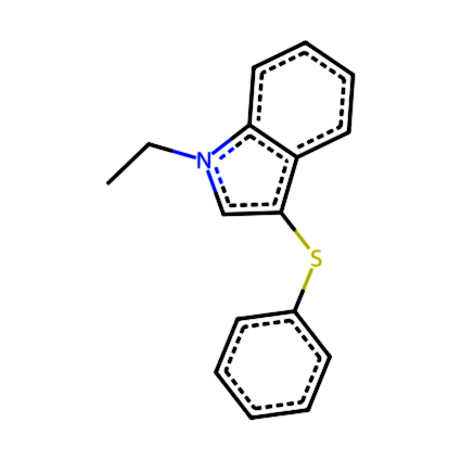 CCn1cc(Sc2ccccc2)c2ccccc21